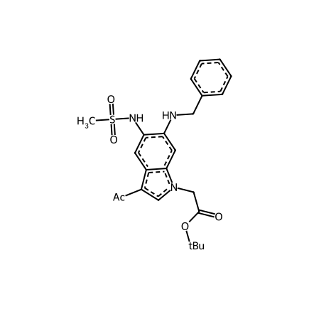 CC(=O)c1cn(CC(=O)OC(C)(C)C)c2cc(NCc3ccccc3)c(NS(C)(=O)=O)cc12